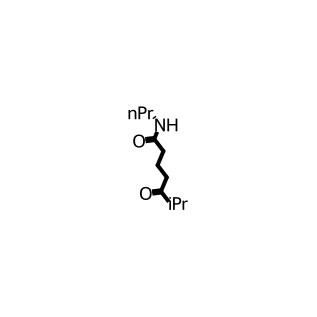 CCCNC(=O)CCCC(=O)C(C)C